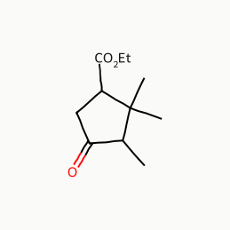 CCOC(=O)C1CC(=O)C(C)C1(C)C